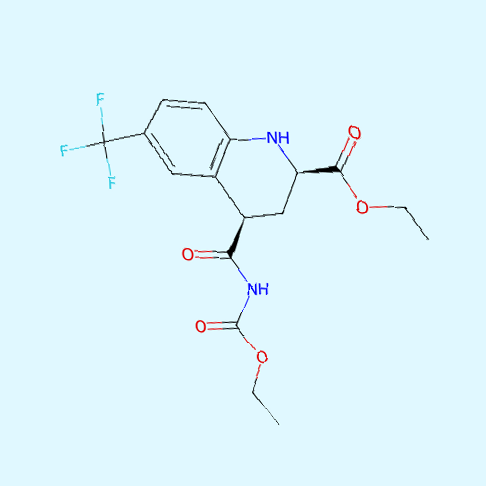 CCOC(=O)NC(=O)[C@@H]1C[C@H](C(=O)OCC)Nc2ccc(C(F)(F)F)cc21